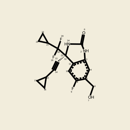 O=C1Nc2cc(CO)c(F)cc2[C@@](C#CC2CC2)(C(F)(F)C2CC2)N1